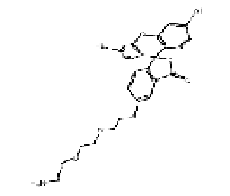 NCCOCCOCCOc1ccc2c(c1)C(=O)OC21c2ccc(O)cc2Oc2cc(O)ccc21